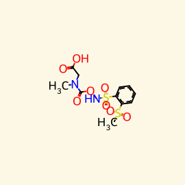 CN(CC(=O)O)C(=O)ONS(=O)(=O)c1ccccc1S(C)(=O)=O